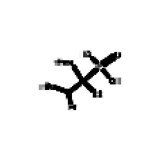 CCCCCCC(CC)(C(CC)CCCC)P(=O)(O)O